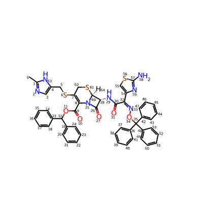 Cc1ncc(CSC2=C(C(=O)OC(c3ccccc3)c3ccccc3)N3C(=O)[C@@H](NC(=O)/C(=N\OC(c4ccccc4)(c4ccccc4)c4ccccc4)c4csc(N)n4)[C@@H]3SC2)[nH]1